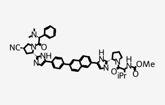 COC(=O)NC(C(=O)N1CCC[C@H]1c1ncc(-c2ccc3cc(-c4ccc(-c5cnc([C@@H]6C[C@@H](C#N)CN6C(=O)[C@@H](c6ccccc6)N(C)C)[nH]5)cc4)ccc3c2)[nH]1)C(C)C